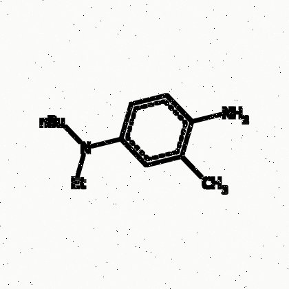 CCCCN(CC)c1ccc(N)c(C)c1